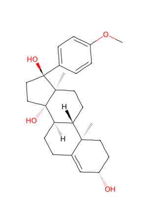 COc1ccc([C@@]2(O)CC[C@]3(O)[C@@H]4CCC5=C[C@@H](O)CC[C@]5(C)[C@H]4CC[C@]23C)cc1